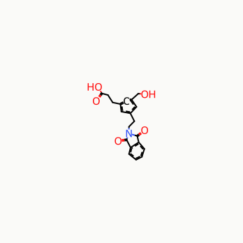 O=C(O)CCc1cc(CO)cc(CCN2C(=O)c3ccccc3C2=O)c1